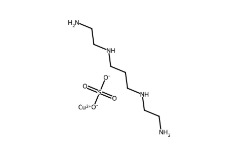 NCCNCCCNCCN.O=S(=O)([O-])[O-].[Cu+2]